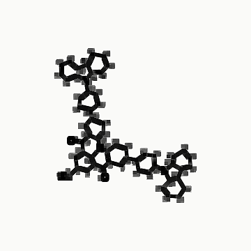 CC(C)(C)c1cc2c(=O)c3cc(-c4ccc(-n5c6c(c7ccccc75)CCC=C6)cc4)ccc3n3c4ccc(-c5ccc(-n6c7ccccc7c7ccccc76)cc5)cc4c(=O)c(c1)c23